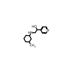 CC1CCCC(NCC(O)c2ccncc2)C1